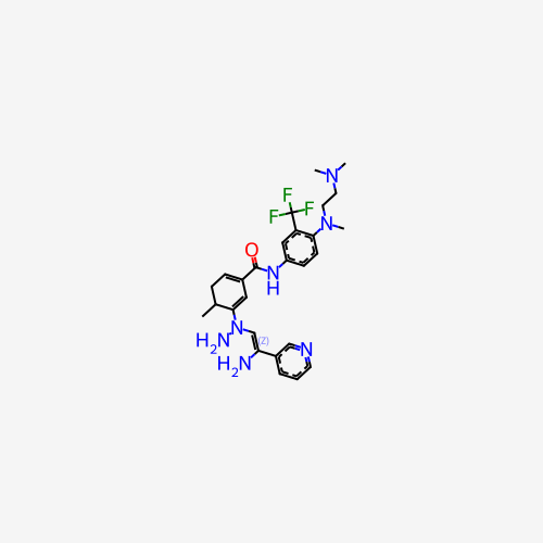 CC1CC=C(C(=O)Nc2ccc(N(C)CCN(C)C)c(C(F)(F)F)c2)C=C1N(N)/C=C(\N)c1cccnc1